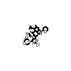 Cc1cc2c(cnn2C2CCCCO2)c(-c2nccn3c2c(C)c2nc(Cl)nc(N4CCOC[C@@](C)(O)C4)c23)c1C1CC1